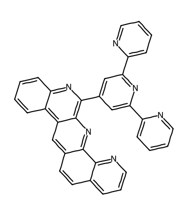 c1ccc(-c2cc(-c3nc4ccccc4c4cc5ccc6cccnc6c5nc34)cc(-c3ccccn3)n2)nc1